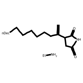 C=C(CCCCCCCCCCCCCCCC)C1CC(=O)NC1=O.CCN